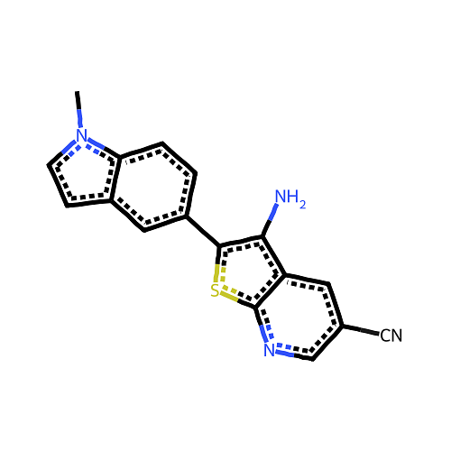 Cn1ccc2cc(-c3sc4ncc(C#N)cc4c3N)ccc21